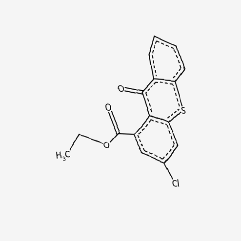 CCOC(=O)c1cc(Cl)cc2sc3ccccc3c(=O)c12